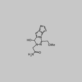 COCC1=NN(CC(N)=O)C(O)c2cc3ccsc3n21